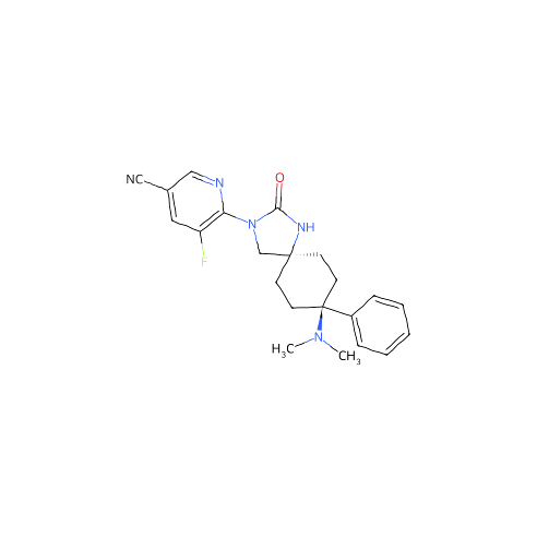 CN(C)[C@]1(c2ccccc2)CC[C@]2(CC1)CN(c1ncc(C#N)cc1F)C(=O)N2